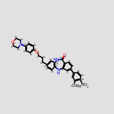 COc1cc(-c2ccc3c(c2)Nc2ccc(CCCOc4ccc(N5CCOCC5)cc4)cc2NC3=O)ccc1[N+](=O)[O-]